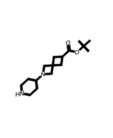 CC(C)(C)OC(=O)C1CC2(C1)CN(C1CCNCC1)C2